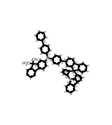 CC1(C)c2ccccc2-c2ccc(N(c3ccc(-c4ccccc4)cc3)c3ccc(-c4ccc5c(c4)C4(c6ccccc6-5)c5ccccc5-n5c6ccccc6c6cccc4c65)cc3)cc21